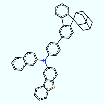 c1ccc2c(c1)-c1cc(-c3ccc(N(c4ccc5ccccc5c4)c4ccc5sc6ccccc6c5c4)cc3)ccc1C21C2CC3CC(C2)CC1C3